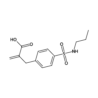 C=C(Cc1ccc(S(=O)(=O)NCCC)cc1)C(=O)O